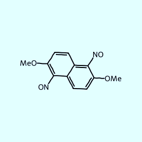 COc1ccc2c(N=O)c(OC)ccc2c1N=O